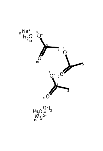 CC(=O)[O-].CC(=O)[O-].CC(=O)[O-].O.O.O.[Mg+2].[Na+]